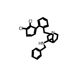 Clc1cccc(-c2ccccc2CC2C(NCc3ccccc3)C3CCN2CC3)c1Cl